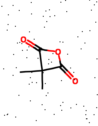 CC1(C)C(=O)OC1=O